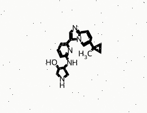 CC1(c2ccc3ncc(-c4cccc(NC5CNCC5O)n4)n3c2)CC1